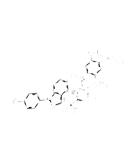 COc1cc(C)c([C@@H](Oc2ccc3c(cnn3-c3ccc(F)cc3)c2)[C@H](C)NC(=O)C(F)(F)F)cc1C